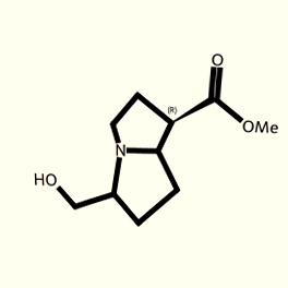 COC(=O)[C@@H]1CCN2C(CO)CCC12